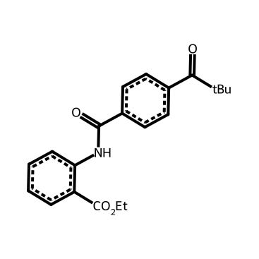 CCOC(=O)c1ccccc1NC(=O)c1ccc(C(=O)C(C)(C)C)cc1